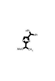 CCCC(CCC)c1csc(C(C)OC)n1